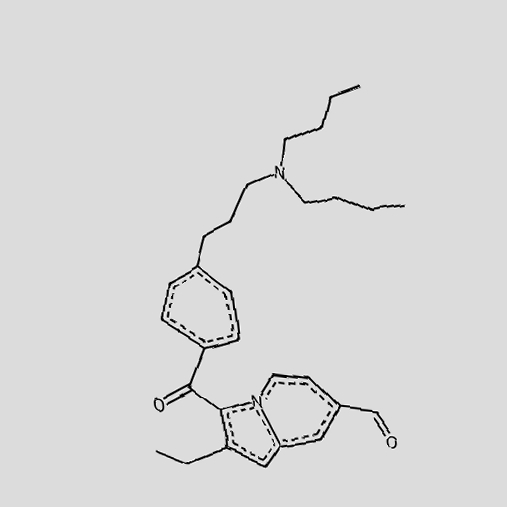 CCCCN(CCCC)CCCc1ccc(C(=O)c2c(CC)cc3cc(C=O)ccn23)cc1